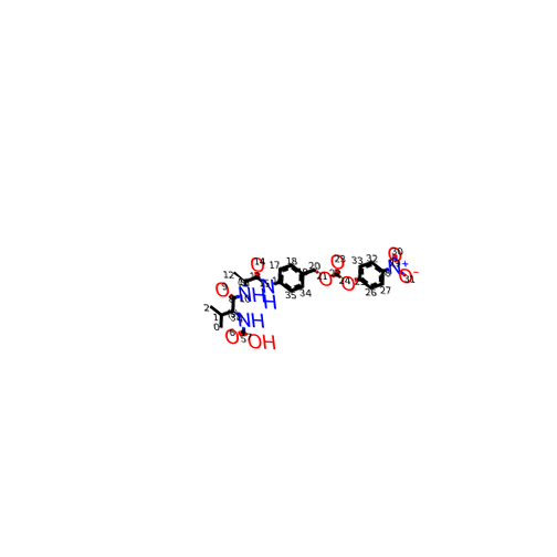 CC(C)[C@H](NC(=O)O)C(=O)N[C@@H](C)C(=O)Nc1ccc(COC(=O)Oc2ccc([N+](=O)[O-])cc2)cc1